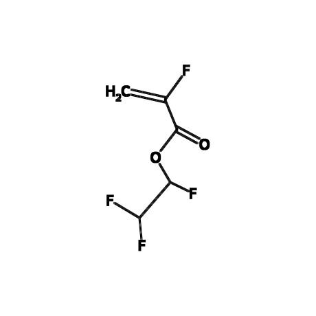 C=C(F)C(=O)OC(F)C(F)F